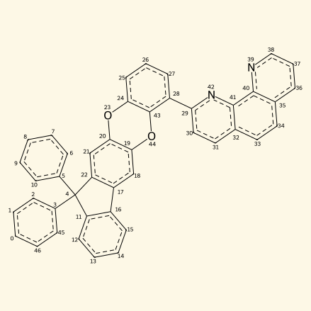 c1ccc(C2(c3ccccc3)c3ccccc3-c3cc4c(cc32)Oc2cccc(-c3ccc5ccc6cccnc6c5n3)c2O4)cc1